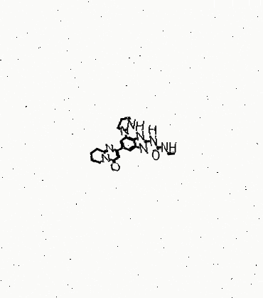 CCNC(=O)Nc1nc2cc(-c3cc(=O)n4c(n3)CCCC4)cc(N3CCC=N3)c2[nH]1